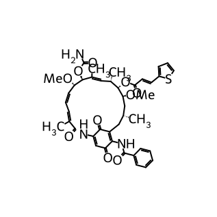 CO[C@H]1/C=C\C=C(/C)C(=O)NC2=CC(=O)C(NC(=O)c3ccccc3)=C(C[C@@H](C)C[C@H](OC)[C@@H](OC(=O)/C=C/c3cccs3)[C@@H](C)/C=C(\C)[C@@H]1OC(N)=O)C2=O